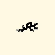 C=CC(=O)Oc1cccc(B(O)O)c1C